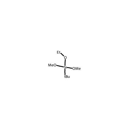 CCO[Si](OC)(OC)C(C)(C)C